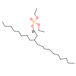 CCCCCCCCCCC(CCCCCCCC)[CH2][Zn][O]P(=O)(OCC)OCC